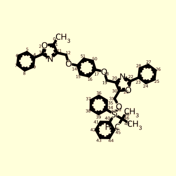 Cc1oc(-c2ccccc2)nc1COc1ccc(OCc2nc(-c3ccccc3)oc2CO[Si](c2ccccc2)(c2ccccc2)C(C)(C)C)cc1